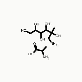 CC(N)C(=O)O.CC(O)(CN)C(O)C(O)C(O)CO